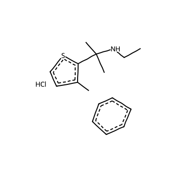 CCNC(C)(C)c1sccc1C.Cl.c1ccccc1